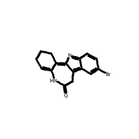 O=C1CC2=c3cc(Br)ccc3=NC2=C2CCCC=C2N1